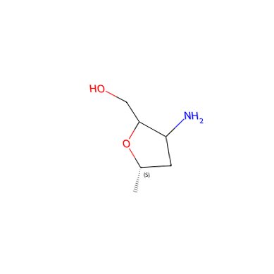 C[C@H]1CC(N)C(CO)O1